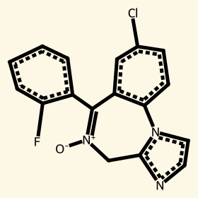 [O-][N+]1=C(c2ccccc2F)c2cc(Cl)ccc2-n2ccnc2C1